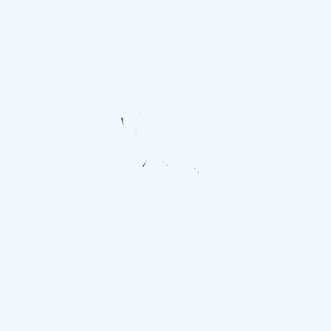 CC(C)(C)OC(=O)NC1=N[C@](C)([C@@H]2C[C@H]2C(=O)O)C(F)(F)CO1